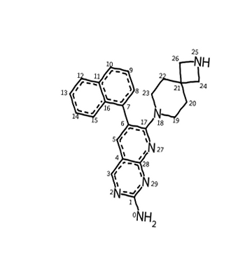 Nc1ncc2cc(-c3cccc4ccccc34)c(N3CCC4(CC3)CNC4)nc2n1